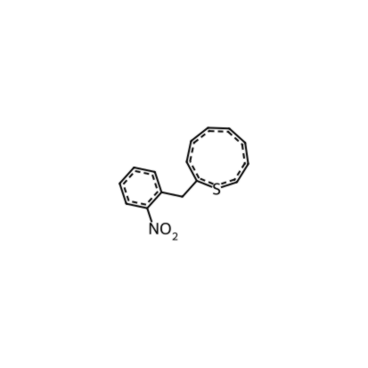 O=[N+]([O-])c1ccccc1Cc1cccccccs1